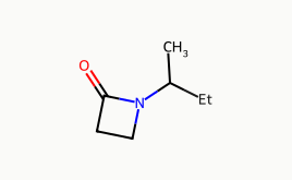 CCC(C)N1CCC1=O